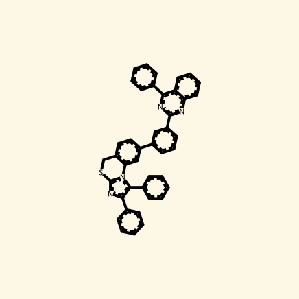 c1ccc(-c2nc3n(c2-c2ccccc2)-c2cc(-c4cccc(-c5nc(-c6ccccc6)c6ccccc6n5)c4)ccc2CS3)cc1